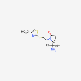 CCCC(N)(CC)[C@H]1CCC(=O)N1CCSc1nc(C(=O)O)cs1